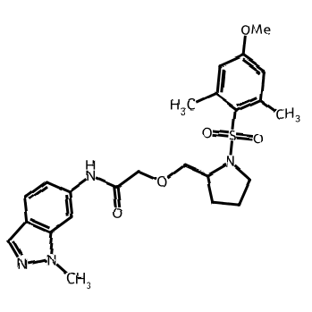 COc1cc(C)c(S(=O)(=O)N2CCCC2COCC(=O)Nc2ccc3cnn(C)c3c2)c(C)c1